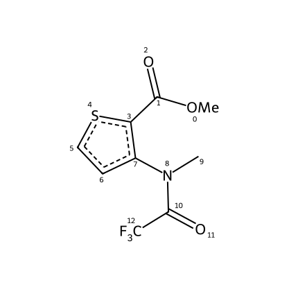 COC(=O)c1sccc1N(C)C(=O)C(F)(F)F